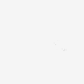 O=C(NO)N(O)CCc1ccc2c(c1)oc1ccccc12